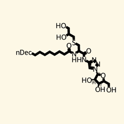 CCCCCCCCCCCCCCCCCC(=O)NC(CSCC(O)CO)C(=O)Nc1cn([C@H]2OC(CO)[C@@H](O)[C@H]2O)nn1